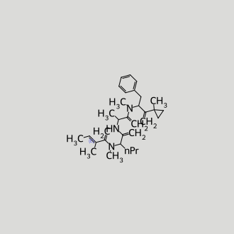 C=C(NC(C)C(=C)N(C)C(Cc1ccccc1)C(=C)C1(C)CC1)C(CCC)N(C)C(=C)/C(C)=C/C